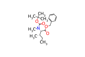 CC[C@H](C)[C@@H](C(=O)OCc1ccccc1)N(C)C(=O)OC(C)(C)C